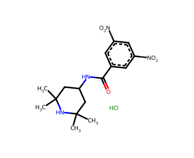 CC1(C)CC(NC(=O)c2cc([N+](=O)[O-])cc([N+](=O)[O-])c2)CC(C)(C)N1.Cl